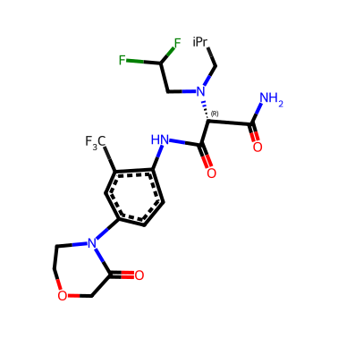 CC(C)CN(CC(F)F)[C@H](C(N)=O)C(=O)Nc1ccc(N2CCOCC2=O)cc1C(F)(F)F